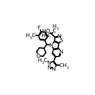 Cc1cc(C(C2CCOCC2)n2c3cc(-c4c(C)nnn4C)cnc3c3snc(C(C)(C)O)c32)ccc1F